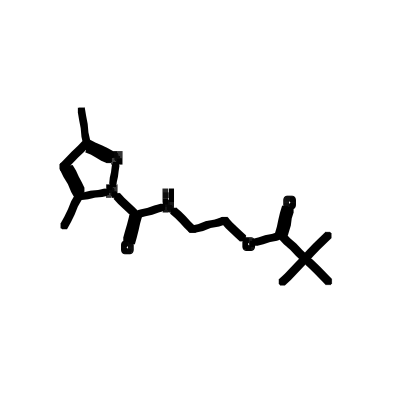 Cc1cc(C)n(C(=O)NCCOC(=O)C(C)(C)C)n1